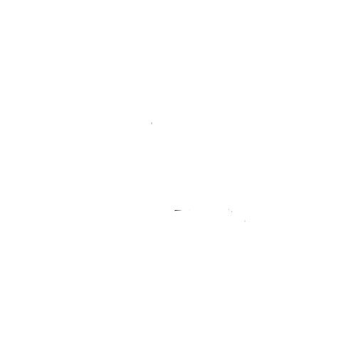 CC(/C=C/[C@@]1(C)CCC/C(=N\O)C1)=C\Cc1c(O)c(C=O)c(C)c(Cl)c1OCF